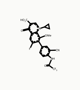 COc1c(-c2ccc(NC(=O)C(F)(F)F)c(C#N)c2)c(F)cc2c(=O)c(C(=O)O)cn(C3CC3)c12